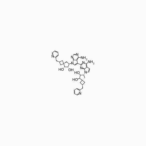 Nc1nc(-c2cn([C@@H]3C[C@]4(C[C@@H](Cc5ccccn5)C4)[C@@H](O)[C@H]3O)c3ncnc(N)c23)nc2c1ccn2[C@@H]1C[C@]2(C[C@H](Cc3ccccn3)C2)[C@@H](O)[C@H]1O